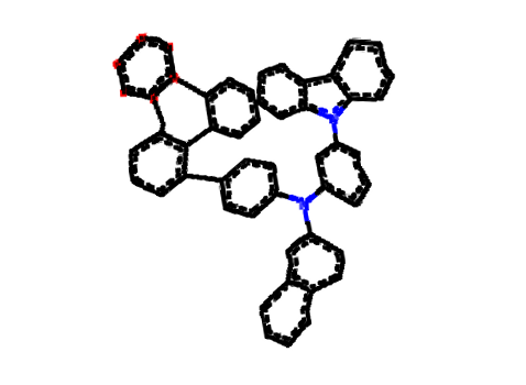 c1ccc(-c2ccccc2-c2c(-c3ccccc3)cccc2-c2ccc(N(c3cccc(-n4c5ccccc5c5ccccc54)c3)c3ccc4ccccc4c3)cc2)cc1